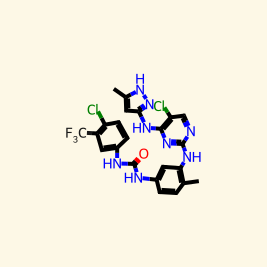 Cc1cc(Nc2nc(Nc3cc(NC(=O)Nc4ccc(Cl)c(C(F)(F)F)c4)ccc3C)ncc2Cl)n[nH]1